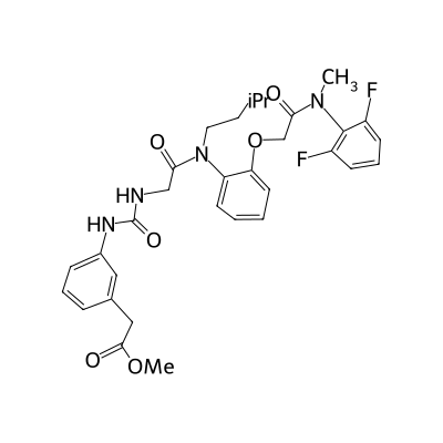 COC(=O)Cc1cccc(NC(=O)NCC(=O)N(CCC(C)C)c2ccccc2OCC(=O)N(C)c2c(F)cccc2F)c1